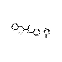 NC(Cc1ccccc1)C(=O)Nc1ccc(-c2nnn[nH]2)cc1